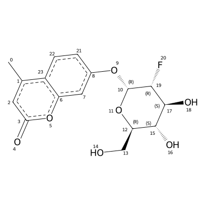 Cc1cc(=O)oc2cc(O[C@H]3O[C@H](CO)[C@@H](O)[C@H](O)[C@H]3F)ccc12